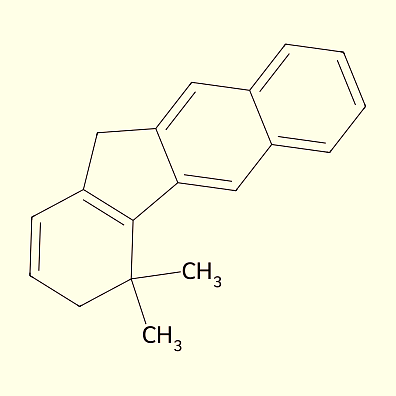 CC1(C)CC=CC2=C1c1cc3ccccc3cc1C2